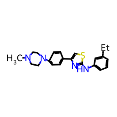 CCc1cccc(Nc2nc(-c3ccc(N4CCN(C)CC4)cc3)cs2)c1